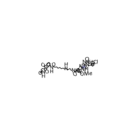 C=N/C(=N\C1=C(C)N(C)C(=O)[C@@H](CC)N1Cc1ccc(Cl)s1)Nc1ccc(C(=O)NCCCNCCCCCCCC(=O)Nc2cccc3c2CN(C2CCC(=O)NC2=O)C3=O)cc1OC